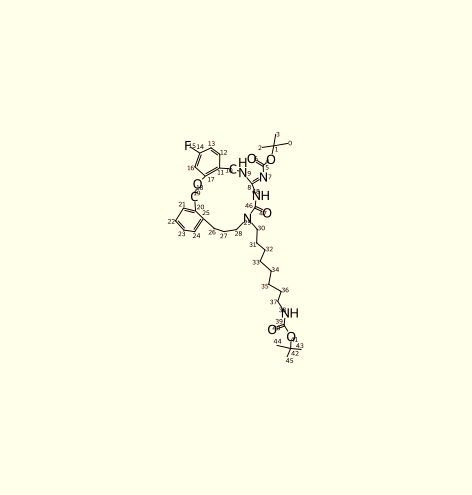 CC(C)(C)OC(=O)/N=C1\NCc2ccc(F)cc2OCc2ccccc2CCCN(CCCCCCCCNC(=O)OC(C)(C)C)C(=O)N1